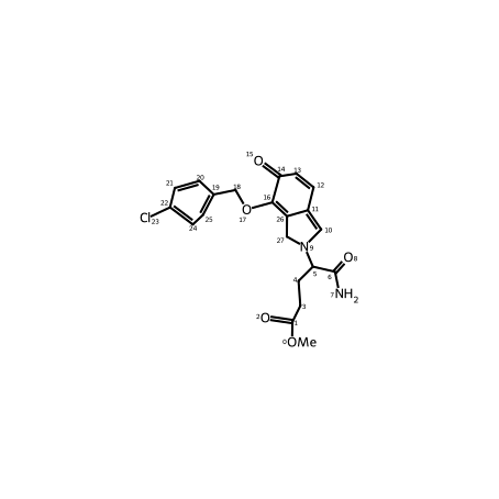 COC(=O)CCC(C(N)=O)N1C=C2C=CC(=O)C(OCc3ccc(Cl)cc3)=C2C1